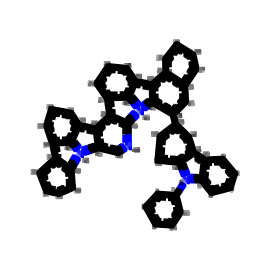 c1ccc(-n2c3ccccc3c3cc(-c4cc5ccccc5c5c6cccc7c8c9c%10cccc%11c%12ccccc%12n(c9cnc8n(c45)c76)c%11%10)ccc32)cc1